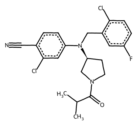 CC(C)C(=O)N1CC[C@H](N(Cc2cc(F)ccc2Cl)c2ccc(C#N)c(Cl)c2)C1